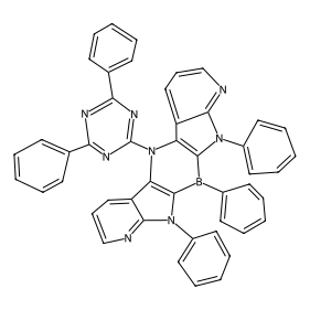 c1ccc(B2c3c(c4cccnc4n3-c3ccccc3)N(c3nc(-c4ccccc4)nc(-c4ccccc4)n3)c3c2n(-c2ccccc2)c2ncccc32)cc1